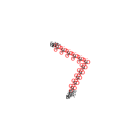 O=[Si]([O-])[O-].O=[Si]([O-])[O-].O=[Si]([O-])[O-].O=[Si]([O-])[O-].O=[Si]([O-])[O-].O=[Si]([O-])[O-].O=[Si]([O-])[O-].O=[Si]([O-])[O-].O=[Si]([O-])[O-].O=[Si]([O-])[O-].O=[Si]([O-])[O-].[Bi+3].[Bi+3].[Ti+4].[Ti+4].[Zr+4].[Zr+4]